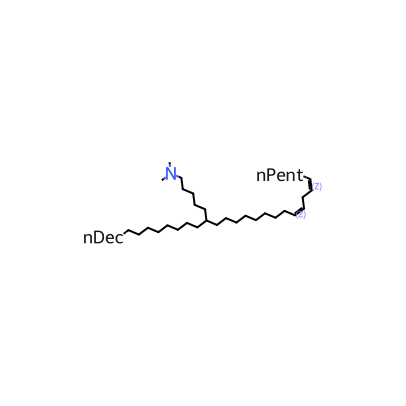 CCCCC/C=C\C/C=C\CCCCCCCCC(CCCCCCCCCCCCCCCCCC)CCCCCN(C)C